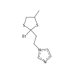 CCC1(CCn2ccnc2)SCC(C)S1